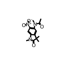 CC(=O)N(C)c1cc2c(cc1[N+](=O)[O-])N(C)C(=O)C2(C)C